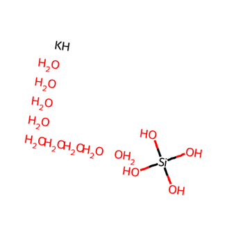 O.O.O.O.O.O.O.O.O.O[Si](O)(O)O.[KH]